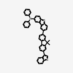 CC1(C)c2cc(-c3ccc4sc5ccc(N(c6ccccc6)c6ccccc6)cc5c4c3)ccc2-c2ccc(-c3csc4ccccc34)cc21